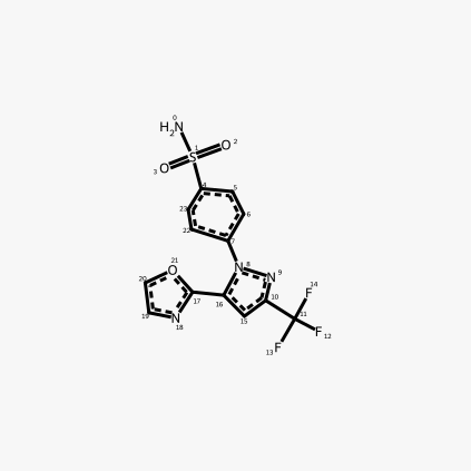 NS(=O)(=O)c1ccc(-n2nc(C(F)(F)F)cc2-c2ncco2)cc1